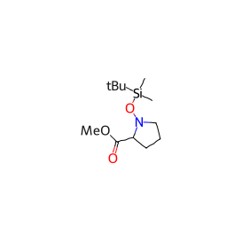 COC(=O)C1CCCN1O[Si](C)(C)C(C)(C)C